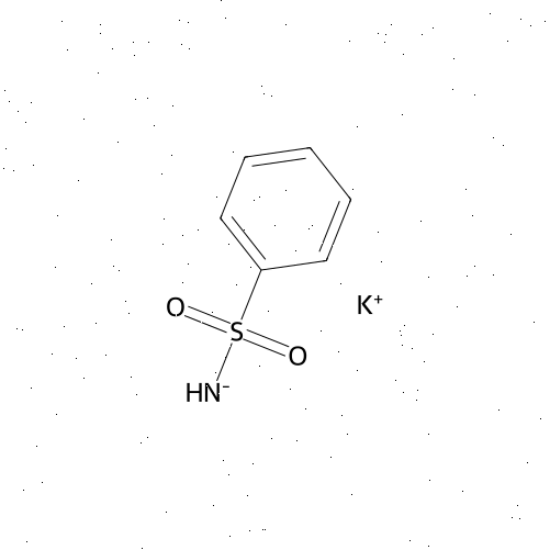 [K+].[NH-]S(=O)(=O)c1ccccc1